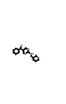 O=C(c1ccccc1)c1cnc(NCc2cccnc2)nc1